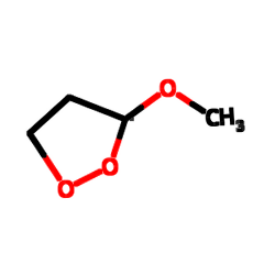 CO[C]1CCOO1